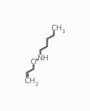 C=CCONCCCCC